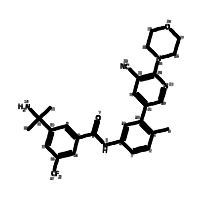 Cc1ccc(NC(=O)c2cc(C(C)(C)N)cc(C(F)(F)F)c2)cc1-c1cnc(N2CCOCC2)c(C#N)c1